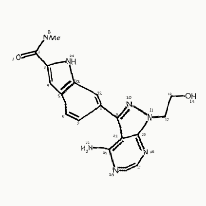 CNC(=O)c1cc2ccc(-c3nn(CCO)c4ncnc(N)c34)cc2[nH]1